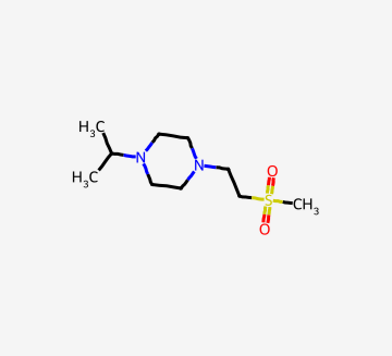 CC(C)N1CCN(CCS(C)(=O)=O)CC1